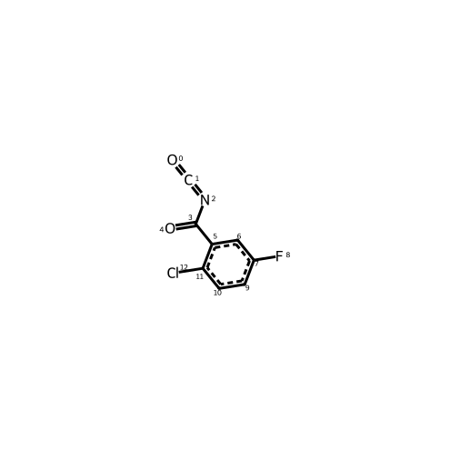 O=C=NC(=O)c1cc(F)ccc1Cl